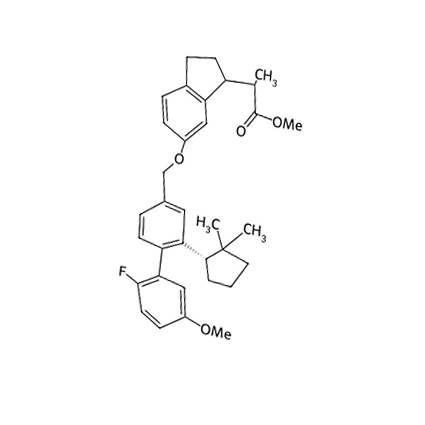 COC(=O)C(C)C1CCc2ccc(OCc3ccc(-c4cc(OC)ccc4F)c([C@H]4CCCC4(C)C)c3)cc21